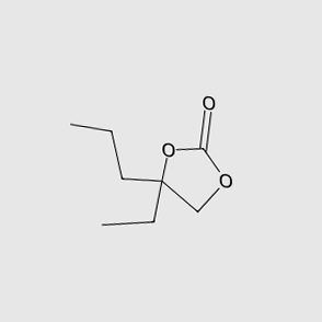 CCCC1(CC)COC(=O)O1